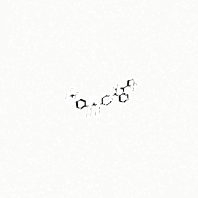 Cn1nccc1-c1nnc(N2CCC(NC(=O)Nc3ccc(OC(F)(F)F)cc3)CC2)c2ccccc12